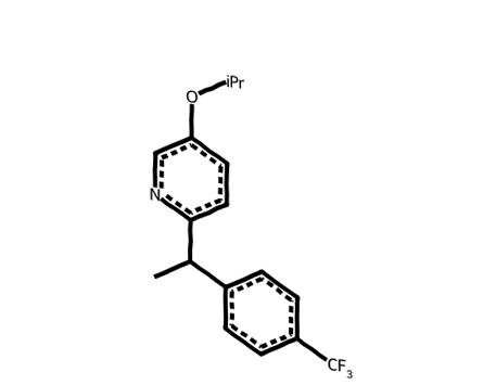 CC(C)Oc1ccc(C(C)c2ccc(C(F)(F)F)cc2)nc1